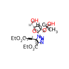 CCOC(=O)C#Cc1c(C(=O)OCC)nnn1[C@@H]1O[C@H](CO)C[C@@H]1OC(C)(C)O